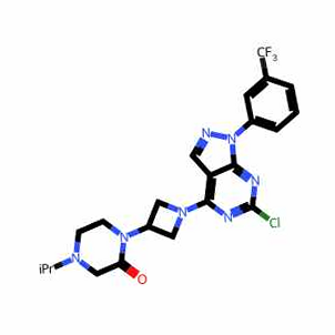 CC(C)N1CCN(C2CN(c3nc(Cl)nc4c3cnn4-c3cccc(C(F)(F)F)c3)C2)C(=O)C1